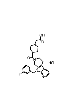 Cl.O=C(O)CN1CCC(C(=O)N2CCc3c(n(Cc4cccc(F)c4)c4ncccc34)C2)CC1